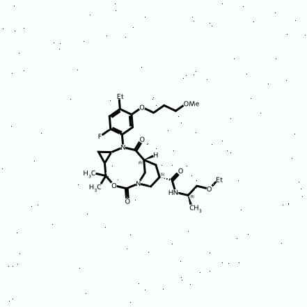 CCOC[C@@H](C)NC(=O)[C@H]1C[C@@H]2CN(C1)C(=O)OC(C)(C)C1CC1N(c1cc(OCCCOC)c(CC)cc1F)C2=O